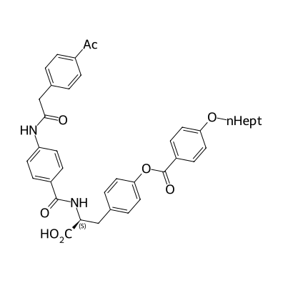 CCCCCCCOc1ccc(C(=O)Oc2ccc(C[C@H](NC(=O)c3ccc(NC(=O)Cc4ccc(C(C)=O)cc4)cc3)C(=O)O)cc2)cc1